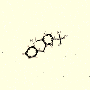 Nc1ncc(C(F)(F)F)nc1Cc1ccccc1